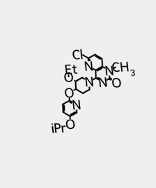 CCO[C@@H]1CN(c2nc(=O)n(C)c3ccc(Cl)nc23)CC[C@H]1Oc1ccc(OC(C)C)cn1